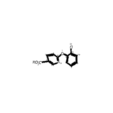 O=C(O)c1ccc(Oc2ccccc2Cl)nc1